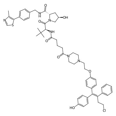 Cc1ncsc1-c1ccc(CNC(=O)[C@@H]2C[C@@H](O)CN2C(=O)[C@@H](NC(=O)CCCC(=O)N2CCN(CCOc3ccc(C(=C(CCCl)c4ccccc4)c4ccc(O)cc4)cc3)CC2)C(C)(C)C)cc1